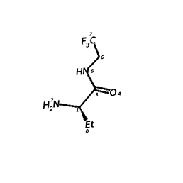 CC[C@@H](N)C(=O)NCC(F)(F)F